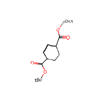 CCCCCCCCOC(=O)C1CCC(C(=O)OC(C)(C)C)CC1